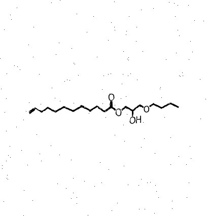 C=CCCCCCCCCCC(=O)OCC(O)COCCCC